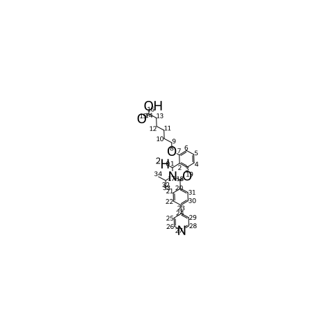 [2H]C(c1ccccc1OCCCCCC(=O)O)N(C(=O)c1ccc(-c2ccncc2)cc1)C(C)C